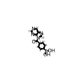 O=C(c1ccc(B(O)O)cc1)n1cnc2cncnc21